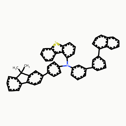 CC1(C)c2ccccc2-c2ccc(-c3ccc(N(c4cccc(-c5cccc(-c6cccc7ccccc67)c5)c4)c4cccc5sc6ccccc6c45)cc3)cc21